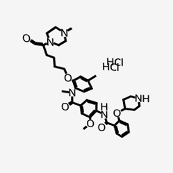 COc1cc(C(=O)N(C)c2ccc(C)cc2OCCCCC(=C=O)N2CCN(C)CC2)ccc1NC(=O)c1ccccc1OC1CCNCC1.Cl.Cl